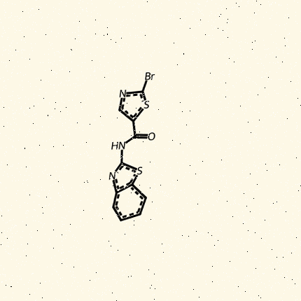 O=C(Nc1nc2ccccc2s1)c1cnc(Br)s1